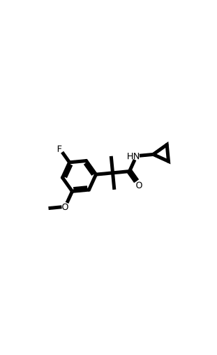 COc1cc(F)cc(C(C)(C)C(=O)NC2CC2)c1